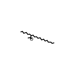 CCCCCCCCCCCCCC(CCCCCC)C(C)=O